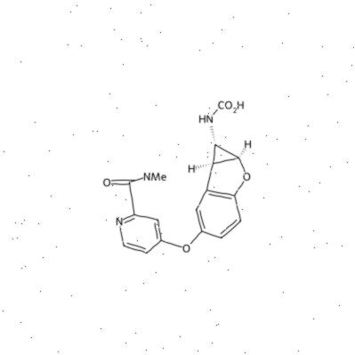 CNC(=O)c1cc(Oc2ccc3c(c2)[C@H]2[C@H](NC(=O)O)[C@H]2O3)ccn1